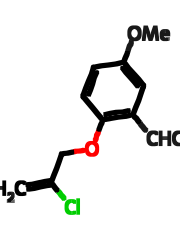 C=C(Cl)COc1ccc(OC)cc1C=O